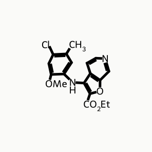 CCOC(=O)c1oc2cnccc2c1Nc1cc(C)c(Cl)cc1OC